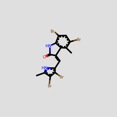 Cc1[nH]c(C=C2C(=O)Nc3c(Br)cc(Br)c(C)c32)c(Br)c1Br